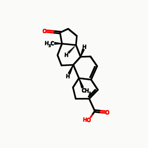 C[C@]12CCC(C(=O)O)=CC1=CC[C@@H]1[C@H]2CC[C@]2(C)C(=O)CC[C@@H]12